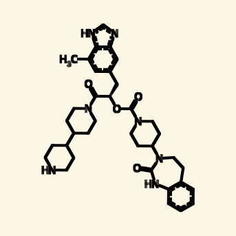 Cc1cc(C[C@@H](OC(=O)N2CCC(N3CCc4ccccc4NC3=O)CC2)C(=O)N2CCC(C3CCNCC3)CC2)cc2nc[nH]c12